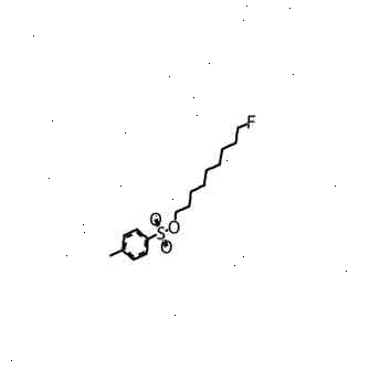 Cc1ccc(S(=O)(=O)OCCCCCCCCCF)cc1